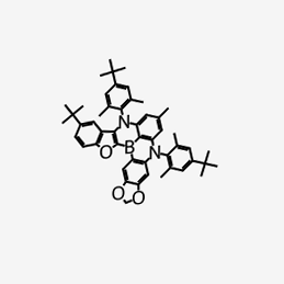 Cc1cc2c3c(c1)N(c1c(C)cc(C(C)(C)C)cc1C)c1c(oc4ccc(C(C)(C)C)cc14)B3c1cc3c(cc1N2c1c(C)cc(C(C)(C)C)cc1C)OCO3